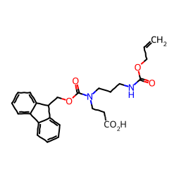 C=CCOC(=O)NCCCN(CCC(=O)O)C(=O)OCC1c2ccccc2-c2ccccc21